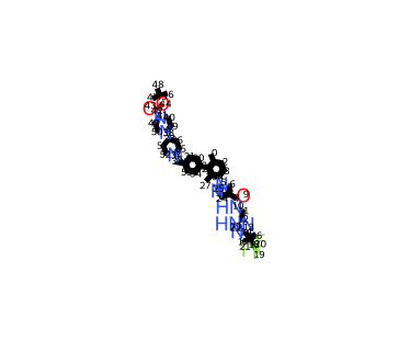 Cc1ccc(-n2cc(C(=O)NCc3nc(C(C)(C)C(F)(F)F)n[nH]3)cn2)c(C)c1-c1ccc(CN2CCC(N3CCN(C(=O)OC(C)(C)C)CC3)CC2)cc1